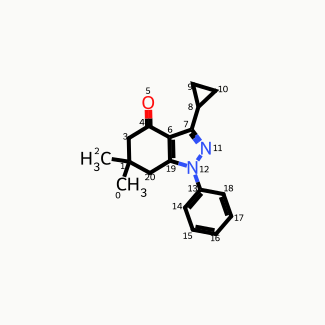 CC1(C)CC(=O)c2c(C3CC3)nn(-c3ccccc3)c2C1